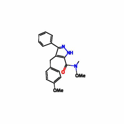 COc1ccc(Cc2c(-c3ccccc3)n[nH]c2C(=O)N(C)OC)cc1